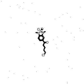 CN1c2ccc(C(=O)CCCCCl)cc2N(C)S1(=O)=O